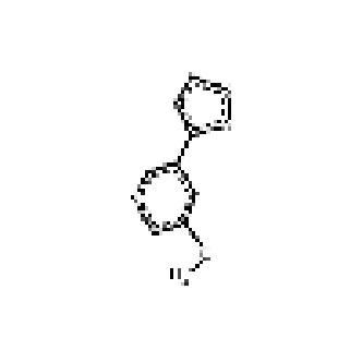 COc1cncc(-c2ccsn2)c1